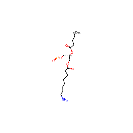 CCCCCCCCCCCCCC(=O)O[C@@H](COP=O)COC(=O)CCCCCCCN